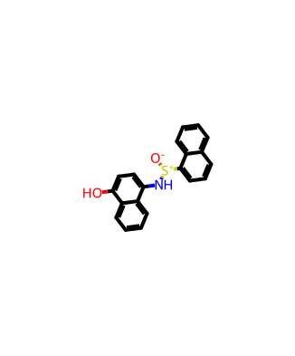 [O-][S+](Nc1ccc(O)c2ccccc12)c1cccc2ccccc12